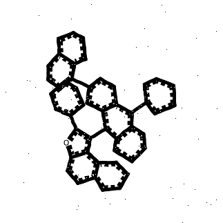 c1ccc(-c2oc3ccc4ccccc4c3c2-c2c3ccccc3c(-c3ccccc3)c3ccc(-c4cccc5ccccc45)cc23)cc1